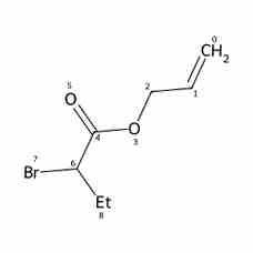 C=CCOC(=O)C(Br)CC